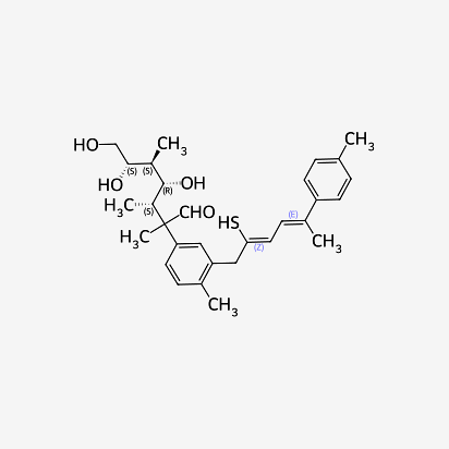 C/C(=C\C=C(/S)Cc1cc(C(C)(C=O)[C@H](C)[C@@H](O)[C@H](C)[C@H](O)CO)ccc1C)c1ccc(C)cc1